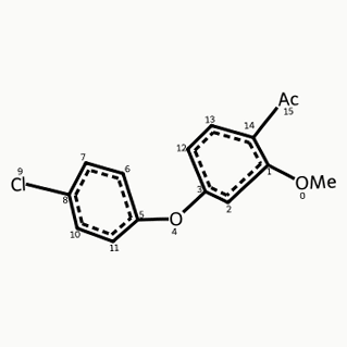 COc1cc(Oc2ccc(Cl)cc2)ccc1C(C)=O